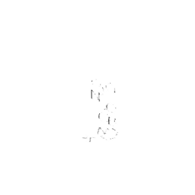 COC(=O)CN(C)CC(=O)OB(C)c1cccc(Br)n1